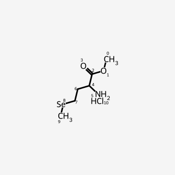 COC(=O)C(N)CC[Se]C.Cl